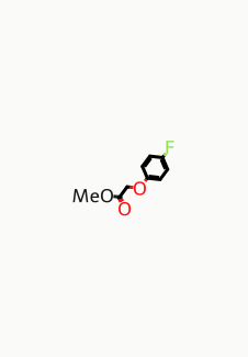 COC(=O)COc1ccc(F)cc1